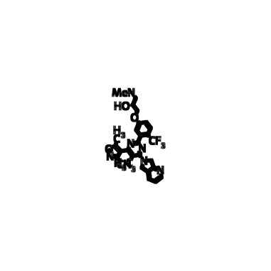 CNC[C@@H](O)COc1ccc(C(F)(F)F)c(-c2nc(-c3c(C)noc3C)c(C)c(N3Cc4cccnc4C3)n2)c1